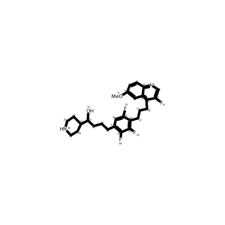 COc1ccc2ncc(F)c(CCCc3c(F)cc(CCCC(O)C4CCNCC4)c(F)c3F)c2c1